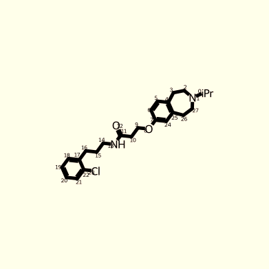 CC(C)N1CCc2ccc(OCCC(=O)NCCCc3ccccc3Cl)cc2CC1